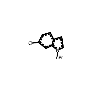 CCCn1ccc2ccc(Cl)cc21